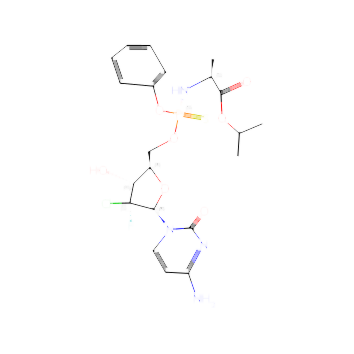 CC(C)OC(=O)[C@H](C)N[P@](=S)(OC[C@H]1O[C@@H](n2ccc(N)nc2=O)[C@@](F)(Cl)[C@@H]1O)Oc1ccccc1